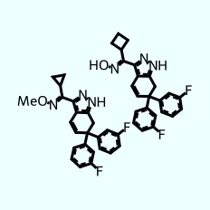 CON=C(c1n[nH]c2c1C=CC(c1cccc(F)c1)(c1cccc(F)c1)C2)C1CC1.ON=C(c1n[nH]c2c1C=CC(c1cccc(F)c1)(c1cccc(F)c1)C2)C1CCC1